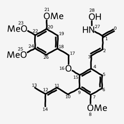 C=C(/C=C/c1ccc(OC)c(CC=C(C)C)c1OCc1cc(OC)c(OC)c(OC)c1)NO